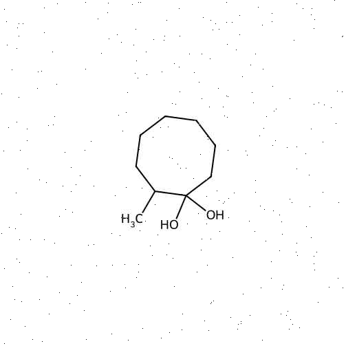 CC1CCCCCCC1(O)O